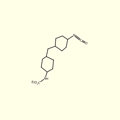 CCOC(=O)NC1CCC(CC2CCC(N=C=O)CC2)CC1